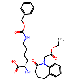 CCOC(=O)CN1C(=O)[C@@H](N[C@@H](CCCCNC(=O)OCc2ccccc2)C(=O)O)CCc2ccccc21